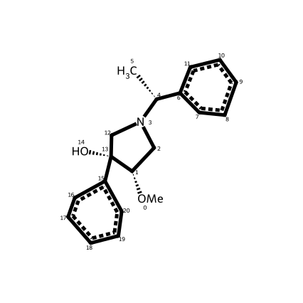 CO[C@H]1CN([C@H](C)c2ccccc2)C[C@]1(O)c1ccccc1